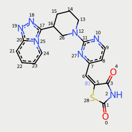 O=C1NC(=O)/C(=C\c2ccnc(N3CCCC(c4nnc5ccccn45)C3)n2)S1